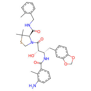 Cc1ccccc1CNC(=O)[C@H]1N(C(=O)[C@@H](O)[C@H](Cc2ccc3c(c2)OCO3)NC(=O)c2cccc(N)c2C)CSC1(C)C